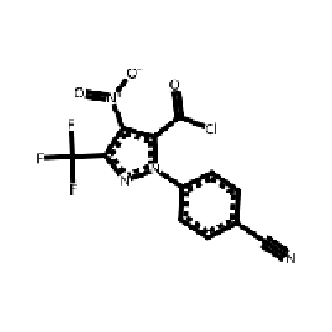 N#Cc1ccc(-n2nc(C(F)(F)F)c([N+](=O)[O-])c2C(=O)Cl)cc1